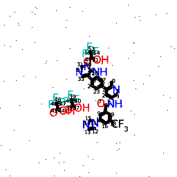 Cc1ncc(NC(=O)c2cc(-n3ccnc3)cc(C(F)(F)F)c2)cc1-c1ccc2c(c1)[nH]c1ncncc12.O=C(O)C(F)(F)F.O=C(O)C(F)(F)F.O=C(O)C(F)(F)F